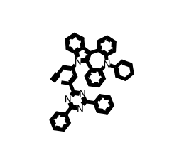 C#C/C=C(\C=C(/C)c1nc(-c2ccccc2)nc(-c2ccccc2)n1)n1c2c(c3ccccc31)-c1ccccc1N(C1=CCCC=C1)c1ccccc1-2